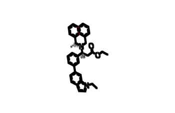 CCOC(=O)C[C@@H](c1cccc(-c2ccc3ccn(CC)c3c2)c1)N(Cc1ccccc1)[C@H](C)c1ccccc1